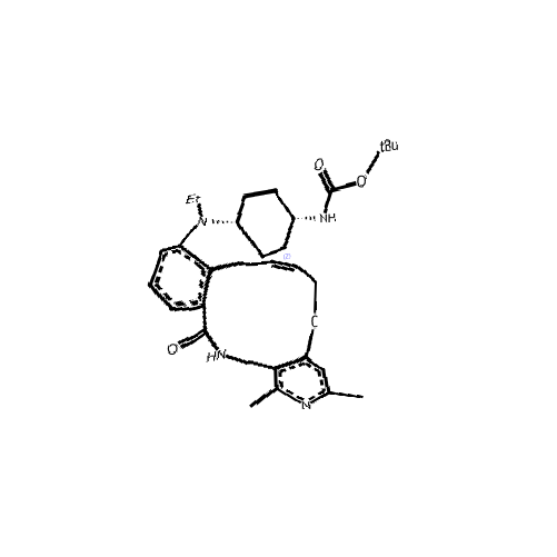 CCN(c1cccc2c1C/C=C\CCc1cc(C)nc(C)c1CNC2=O)[C@H]1CC[C@@H](NC(=O)OC(C)(C)C)CC1